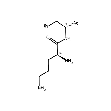 CC(=O)[C@@H](CC(C)C)NC(=O)[C@@H](N)CCCN